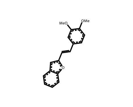 COc1ccc(/C=C/c2cc3ccccc3o2)cc1OC